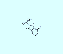 O=C(O)c1[nH]c2cccc(Cl)c2c1F